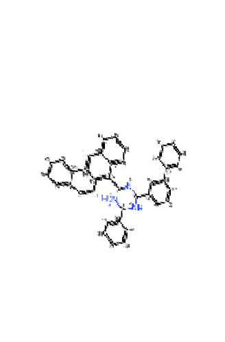 NC(NC(/N=C/c1c2ccccc2cc2c1ccc1ccccc12)c1cccc(-c2ccccc2)c1)c1ccccc1